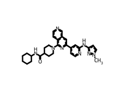 Cn1ccc(Nc2cc(-c3cc4cnccc4c(N4CCC(C(=O)NC5CCCCC5)CC4)n3)ccn2)n1